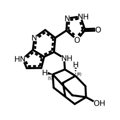 O=c1[nH]nc(-c2cnc3[nH]ccc3c2NC2[C@@H]3CC4C[C@H]2CC(O)(C4)C3)o1